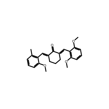 COc1cccc(C)c1/C=C1\CCC/C(=C\c2c(OC)cccc2OC)C1=O